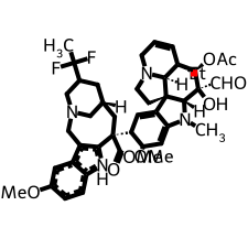 CC[C@]12C=CCN3CC[C@@]4(C5=CC([C@@]6(C(=O)OC)C[C@H]7CC(C(C)(F)F)CN(Cc8c6[nH]c6ccc(OC)cc86)C7)C(OC)C=C5N(C)[C@H]4[C@@](O)(C=O)[C@@H]1OC(C)=O)[C@@H]32